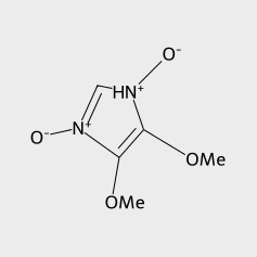 COC1=C(OC)[NH+]([O-])C=[N+]1[O-]